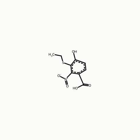 CCSc1c(O)ccc(C(=O)O)c1[N+](=O)[O-]